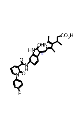 Cc1[nH]c(/C=C2\C(=O)Nc3cc(NC(=O)c4cccn(-c5ccc(F)cc5)c4=O)ccc32)c(C)c1C(C)CC(=O)O